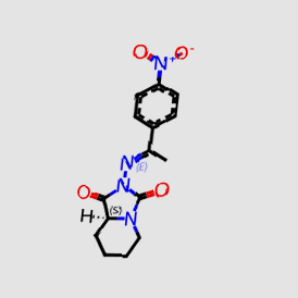 C/C(=N\N1C(=O)[C@@H]2CCCCN2C1=O)c1ccc([N+](=O)[O-])cc1